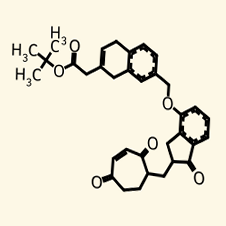 CC(C)(C)OC(=O)CC1=CCc2ccc(COc3cccc4c3CC(CC3CCC(=O)C=CC3=O)C4=O)cc2C1